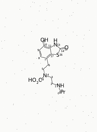 CC(C)NCCN(CCc1ccc(O)c2[nH]c(=O)sc12)C(=O)O